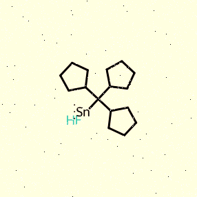 F.[Sn][C](C1CCCC1)(C1CCCC1)C1CCCC1